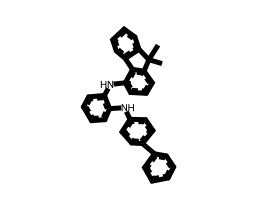 CC1(C)c2ccccc2-c2c(Nc3ccccc3Nc3ccc(-c4ccccc4)cc3)cccc21